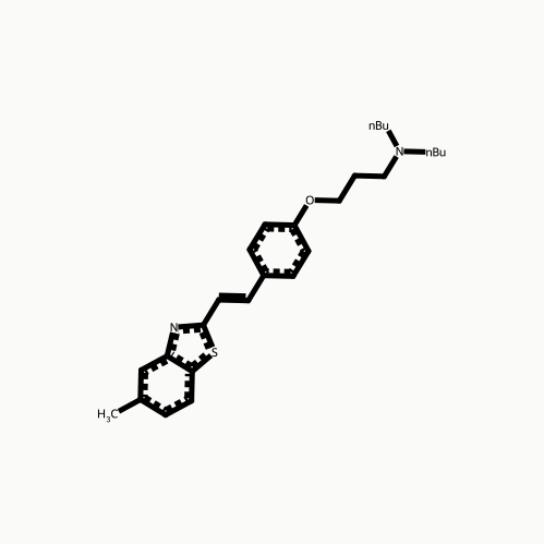 CCCCN(CCCC)CCCOc1ccc(/C=C/c2nc3cc(C)ccc3s2)cc1